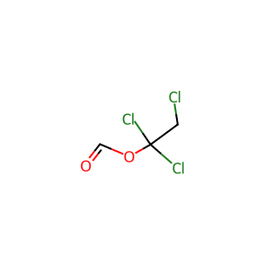 O=COC(Cl)(Cl)CCl